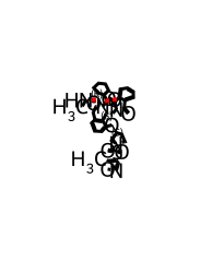 CNC(=O)[C@@H]1CCCCC1C(=O)N1CCc2cccc(O[C@H]3CCN(S(=O)(=O)c4cnoc4C)C3)c2[C@H]1CN1C(=O)c2ccccc2C1=O